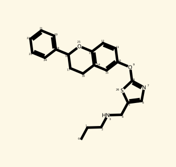 CCCNCc1cnc(Oc2ccc3c(c2)CCC(c2ccccc2)O3)s1